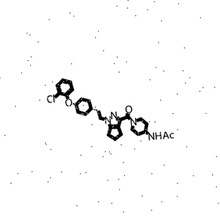 CC(=O)NC1CCN(C(=O)c2nn(CC[C@H]3CC[C@@H](Oc4ccccc4Cl)CC3)c3c2CCC3)CC1